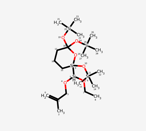 C=C(C)CO[SiH](OCC)[Si]1(O[Si](C)(C)C)CCCC(O[Si](C)(C)C)(O[Si](C)(C)C)O1